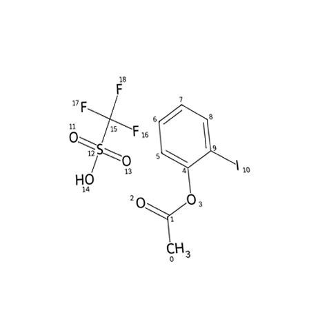 CC(=O)Oc1ccccc1I.O=S(=O)(O)C(F)(F)F